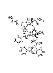 CC(=O)O[C@H]1C(=O)[C@]2(C)[C@@H](O)C[C@@H](OCCO)C[C@H]2[C@H](OC(=O)c2ccccc2)[C@]2(O)C[C@H](OC(=O)[C@H](O)[C@@H](NC(=O)c3ccccc3)c3ccccc3)C(C)=C1C2(C)C